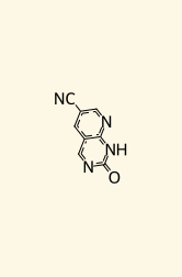 N#Cc1cnc2[nH]c(=O)ncc2c1